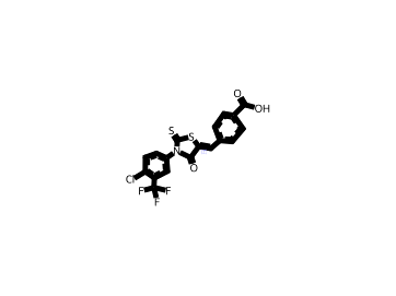 O=C(O)c1ccc(/C=C2\SC(=S)N(c3ccc(Cl)c(C(F)(F)F)c3)C2=O)cc1